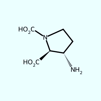 N[C@H]1CCN(C(=O)O)[C@@H]1C(=O)O